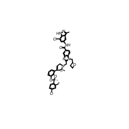 Cc1n[nH]c2c(Cl)cc(NC(=O)c3ccc4c(c3)nc(CN3CC=C(c5cccc6c5O[C@@](C)(c5ccc(Cl)cc5F)O6)C[C@@H]3C)n4CC3CCO3)cc12